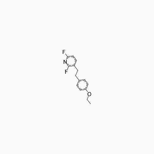 CCOc1ccc(CCc2ccc(F)nc2F)cc1